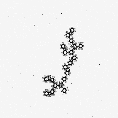 c1ccc(-c2cc(-c3ccc(-c4ccc5sc6c(-c7ccc8c(c7)oc7c(-c9cc(-c%10nc(-c%11ccccc%11)cc(-c%11ccc(-c%12cccc%13c%12sc%12ccccc%12%13)cc%11)n%10)cc(-c%10cccc%11c%10oc%10ccccc%10%11)c9)cccc78)cccc6c5c4)cc3)nc(-c3cc(-c4ccc5oc6ccccc6c5c4)cc(-c4ccc5oc6ccccc6c5c4)c3)n2)cc1